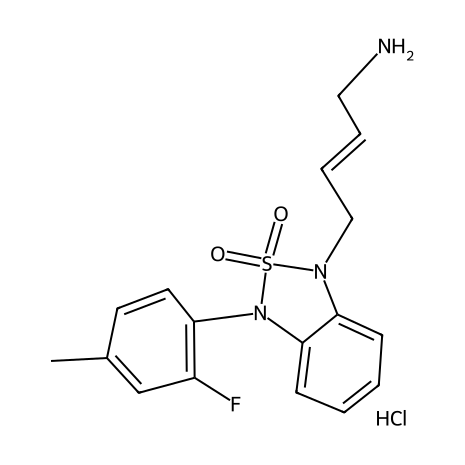 Cc1ccc(N2c3ccccc3N(CC=CCN)S2(=O)=O)c(F)c1.Cl